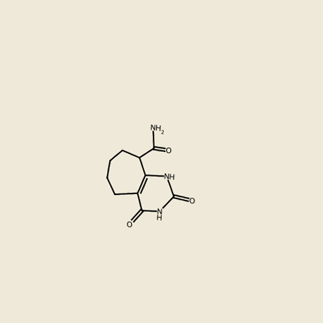 NC(=O)C1CCCCc2c1[nH]c(=O)[nH]c2=O